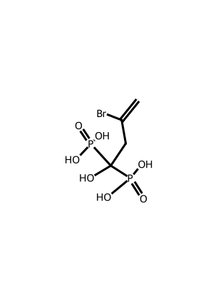 C=C(Br)CC(O)(P(=O)(O)O)P(=O)(O)O